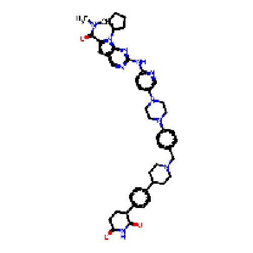 CN(C)C(=O)c1cc2cnc(Nc3ccc(N4CCN(c5ccc(CN6CCC(c7ccc(C8CCC(=O)NC8=O)cc7)CC6)cc5)CC4)cn3)nc2n1C1CCCC1